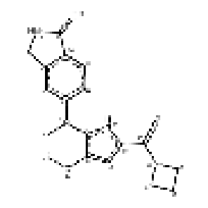 O=C1NCc2cc(N3CCOc4cc(C(=O)N5CCC5)[nH]c43)ccc21